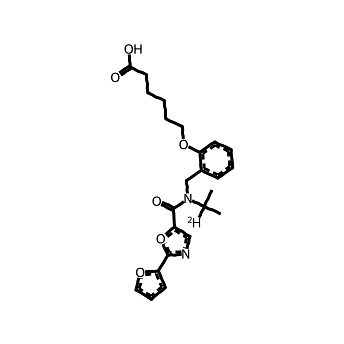 [2H]C(C)(C)N(Cc1ccccc1OCCCCCC(=O)O)C(=O)c1cnc(-c2ccco2)o1